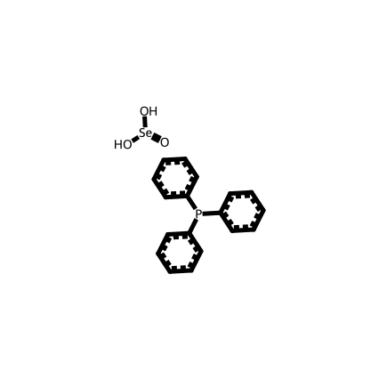 O=[Se](O)O.c1ccc(P(c2ccccc2)c2ccccc2)cc1